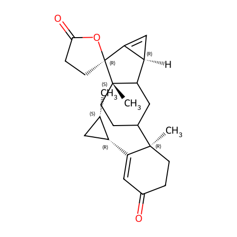 C[C@H]1C[C@H]1C1=CC(=O)CC[C@]1(C)C1CC[C@@]2(C)C(C1)[C@@H]1C=C1[C@@]21CCC(=O)O1